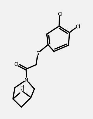 O=C(CSc1ccc(Cl)c(Cl)c1)N1CC2CC(C1)N2